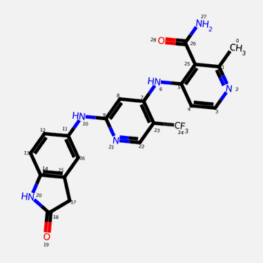 Cc1nccc(Nc2cc(Nc3ccc4c(c3)CC(=O)N4)ncc2C(F)(F)F)c1C(N)=O